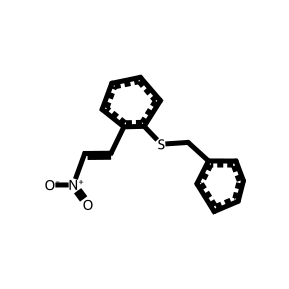 O=[N+]([O-])C=Cc1ccccc1SCc1ccccc1